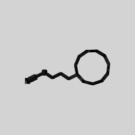 N#COCCCC1CCCCCCCCCC1